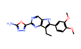 CCc1c(-c2ccc(OC)c(OC)c2)[nH]c2cnc(-c3nnc(N)o3)nc12